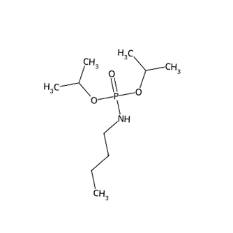 CCCCNP(=O)(OC(C)C)OC(C)C